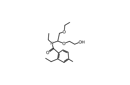 CCOCC(OCCO)N(CC)C(=O)c1ccc(C)cc1CC